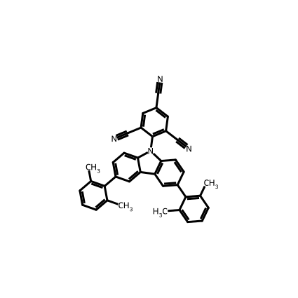 Cc1cccc(C)c1-c1ccc2c(c1)c1cc(-c3c(C)cccc3C)ccc1n2-c1c(C#N)cc(C#N)cc1C#N